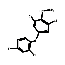 NNc1c(Cl)cc(Sc2ccc(F)cc2Cl)cc1Cl